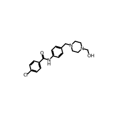 O=C(Nc1ccc(CN2CCN(CO)CC2)cc1)c1ccc(Cl)cc1